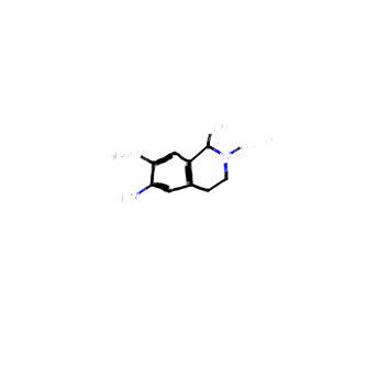 CC(C)COc1cc2c(cc1N)CCN(C(=O)O)C2C(C)(C)C